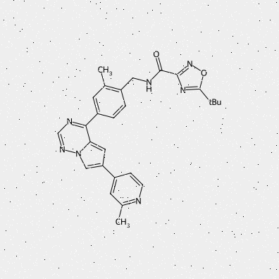 Cc1cc(-c2cc3c(-c4ccc(CNC(=O)c5noc(C(C)(C)C)n5)c(C)c4)ncnn3c2)ccn1